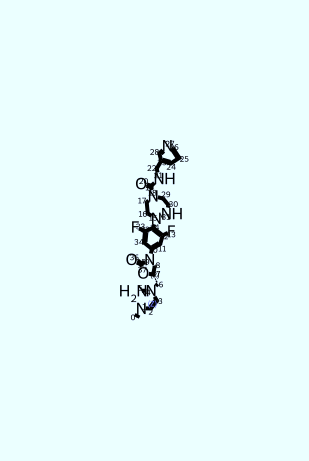 C=N/C=C\N(N)C[C@H]1CN(c2cc(F)c(N3CCN(C(=O)NCc4cccnc4)CCN3)c(F)c2)C(=O)O1